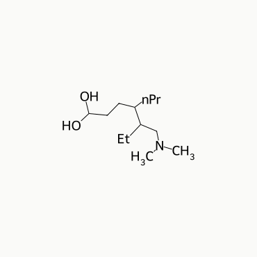 CCCC(CCC(O)O)C(CC)CN(C)C